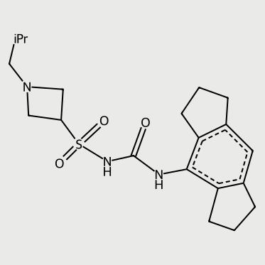 CC(C)CN1CC(S(=O)(=O)NC(=O)Nc2c3c(cc4c2CCC4)CCC3)C1